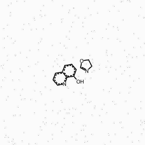 C1=NCCO1.Oc1cccc2cccnc12